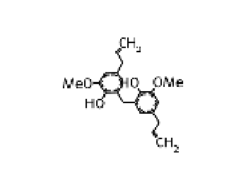 C=CCc1cc(Cc2cc(CC=C)cc(OC)c2O)c(O)c(OC)c1